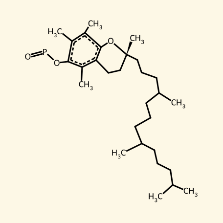 Cc1c(C)c2c(c(C)c1OP=O)CC[C@@](C)(CCCC(C)CCCC(C)CCCC(C)C)O2